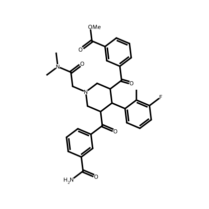 COC(=O)c1cccc(C(=O)C2CN(CC(=O)N(C)C)CC(C(=O)c3cccc(C(N)=O)c3)C2c2cccc(F)c2C)c1